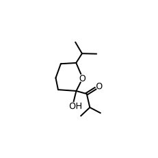 CC(C)C(=O)C1(O)CCCC(C(C)C)O1